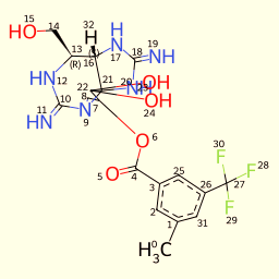 Cc1cc(C(=O)OC2CN3C(=N)N[C@@H](CO)[C@@H]4NC(=N)NC43C2(O)O)cc(C(F)(F)F)c1